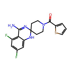 NC1=NC2(CCN(C(=O)c3cccs3)CC2)Nc2cc(F)cc(F)c21